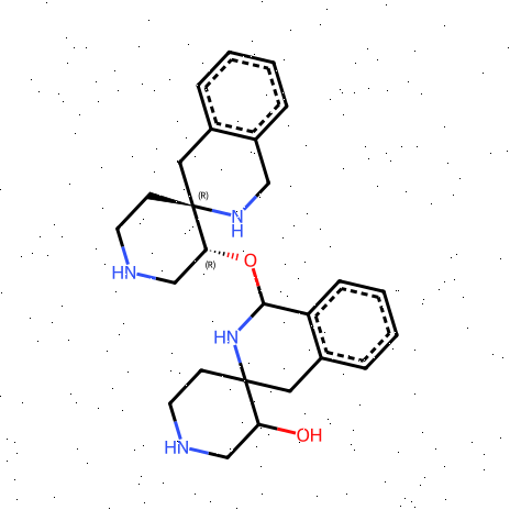 OC1CNCCC12Cc1ccccc1C(O[C@@H]1CNCC[C@]13Cc1ccccc1CN3)N2